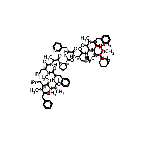 CC(C)C[C@@H](NC(=O)[C@@H](Cc1cccnc1)NC(=O)[C@@H]1CCCN1C(=O)[C@H](C)NC(=O)[C@H](CC(C)C)N(C)C(=O)[C@@H](Cc1ccccc1)NC(=O)[C@H](C)N(C)C(=O)[C@H](CC(C)C)N(C)C(=O)Cc1ccccc1)C(=O)N[C@@H](CC(=O)N(C)[C@@H](C)C(N)=O)C(=O)N(C)[C@@H](Cc1ccccc1)C(=O)N[C@@H](C)C(=O)N1CCCCC1